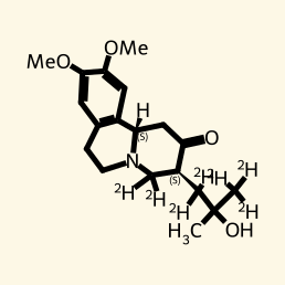 [2H]C1([2H])[C@H](C([2H])([2H])C(C)(O)C([2H])([2H])[2H])C(=O)C[C@H]2c3cc(OC)c(OC)cc3CCN21